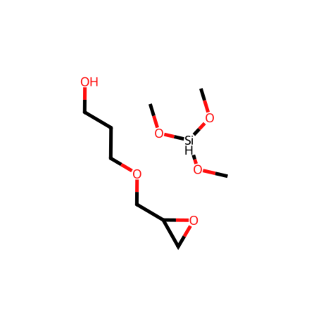 CO[SiH](OC)OC.OCCCOCC1CO1